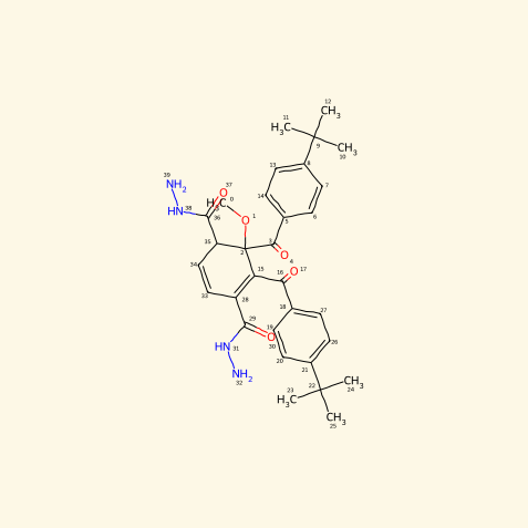 COC1(C(=O)c2ccc(C(C)(C)C)cc2)C(C(=O)c2ccc(C(C)(C)C)cc2)=C(C(=O)NN)C=CC1C(=O)NN